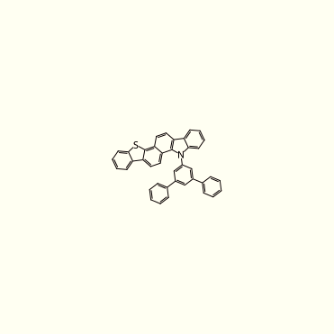 c1ccc(-c2cc(-c3ccccc3)cc(-n3c4ccccc4c4ccc5c(ccc6c7ccccc7sc65)c43)c2)cc1